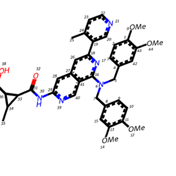 COc1ccc(CN(Cc2ccc(OC)c(OC)c2)c2nc(-c3cnccc3C)cc3cc(NC(=O)C4C(C)C4CO)ncc23)cc1OC